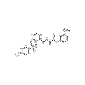 COc1cccc(CC(=O)N/N=C/c2ccccc2OS(=O)(=O)c2ccc(C(F)(F)F)cc2)c1